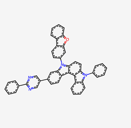 c1ccc(-c2ncc(-c3ccc4c5c6c7ccccc7n(-c7ccccc7)c6ccc5n(-c5ccc6c(c5)oc5ccccc56)c4c3)cn2)cc1